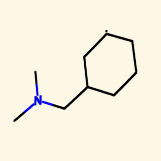 CN(C)CC1C[CH]CCC1